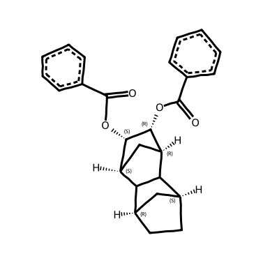 O=C(O[C@@H]1[C@H](OC(=O)c2ccccc2)[C@@H]2C[C@H]1C1C2[C@H]2CC[C@@H]1C2)c1ccccc1